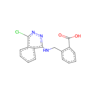 O=C(O)c1ccccc1CNc1nnc(Cl)c2ccccc12